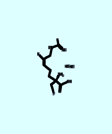 CC(=N)NC/C(F)=C\CC[C@@](N)(CF)C(=O)O.Cl.Cl